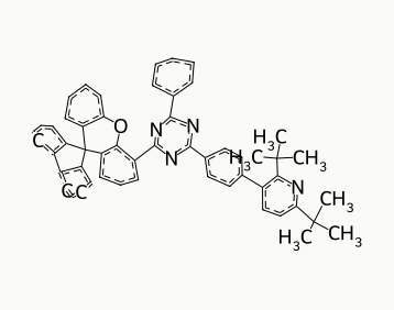 CC(C)(C)c1ccc(-c2ccc(-c3nc(-c4ccccc4)nc(-c4cccc5c4Oc4ccccc4C54c5ccccc5-c5ccccc54)n3)cc2)c(C(C)(C)C)n1